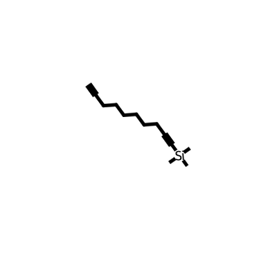 C#CCCCCCCC#C[Si](C)(C)C